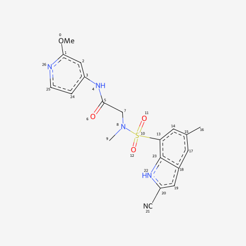 COc1cc(NC(=O)CN(C)S(=O)(=O)c2cc(C)cc3cc(C#N)[nH]c23)ccn1